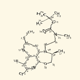 CSc1nc2c3c(nc(Cl)c(F)c3n1)OC[C@H](C)N2CCN(C)C(=O)OC(C)(C)C